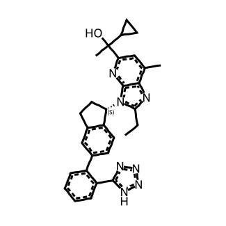 CCc1nc2c(C)cc(C(C)(O)C3CC3)nc2n1[C@H]1CCc2cc(-c3ccccc3-c3nnn[nH]3)ccc21